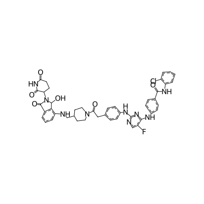 O=C1CCC(N2C(=O)c3cccc(NCC4CCN(C(=O)Cc5ccc(Nc6ncc(F)c(Nc7ccc(C(=O)Nc8ccccc8Cl)cc7)n6)cc5)CC4)c3C2O)C(=O)N1